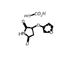 O=C(O)O.O=C1CC(Oc2ccoc2)C(=O)N1